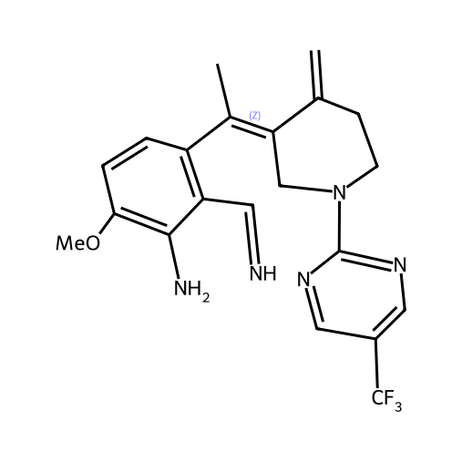 C=C1CCN(c2ncc(C(F)(F)F)cn2)C/C1=C(/C)c1ccc(OC)c(N)c1C=N